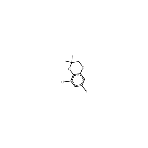 CC1(C)COc2cc(I)cc(Cl)c2O1